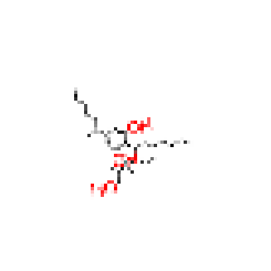 CCCCCC(C)c1cc(O)c(C2=C(C(C)(C)C(C)CO)CCC(CCCC)C2)c(O)c1